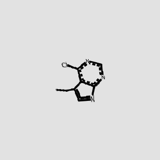 CC1=C=Nc2ncnc(Cl)c21